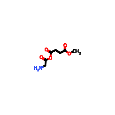 COC(=O)CCC(=O)OC(=O)CN